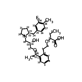 CCC(OCCc1ccccc1[C@@H](C)OC[C@@H](O)CN1CCC[C@H]1Cc1ccc(C)c(F)c1)C(=O)O